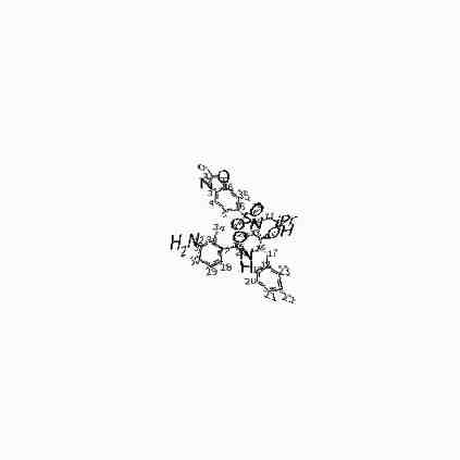 Cc1nc2ccc(S(=O)(=O)N(CC(C)C)C[C@@H](O)[C@H](Cc3ccccc3)NC(=O)c3cccc(N)c3C)cc2o1